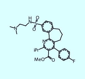 COC(=O)c1c(C(C)C)nc2c(c1-c1ccc(F)cc1)CCCc1ccc(S(=O)(=O)NCCN(C)C)cc1-2